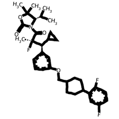 CC(C)[C@@H]1N(C(=O)[C@](C)(F)[C@H](c2cccc(OCC3CCC(c4cc(F)ccc4F)CC3)c2)C2CC2)C(=O)OC1(C)C